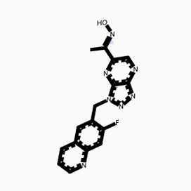 C/C(=N\O)c1cnc2nnn(Cc3cc4cccnc4cc3F)c2n1